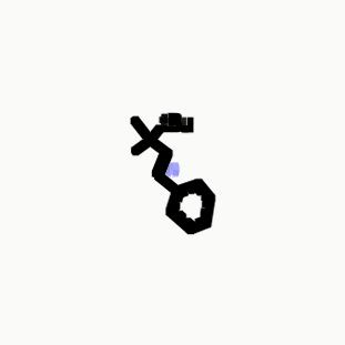 CC(C)(C)C(C)(C)/C=C/c1ccccc1